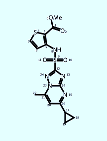 COC(=O)c1sccc1NS(=O)(=O)c1nc2nc(C3CC3)cc(C)n2n1